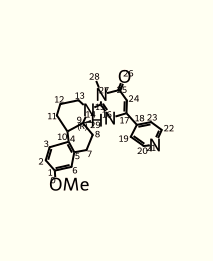 COc1ccc2c(c1)CC[C@@H]1C2CCCN1c1nc(-c2ccncc2)cc(=O)n1C